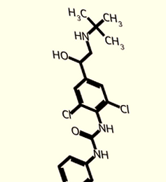 CC(C)(C)NCC(O)c1cc(Cl)c(NC(=O)Nc2ccccc2)c(Cl)c1